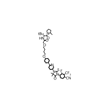 CC1CCCN1C(=O)C(NC(=O)COCCCCOc1ccc(-c2ccc(N3C(=S)N(c4ccc(C#N)c(C(F)(F)F)c4F)C(=O)C3(C)C)cn2)cc1)C(C)(C)C